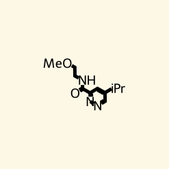 COCCNC(=O)c1cc(C(C)C)cnn1